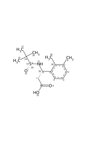 Cc1cccc([C@H](CC(=O)O)N[S@+]([O-])C(C)(C)C)c1C